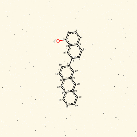 [O]c1cccc2ccc(-c3ccc4cc5ccccc5cc4c3)cc12